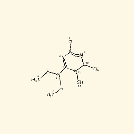 CCN(CC)C1=NC(Cl)=NC(Cl)N1S